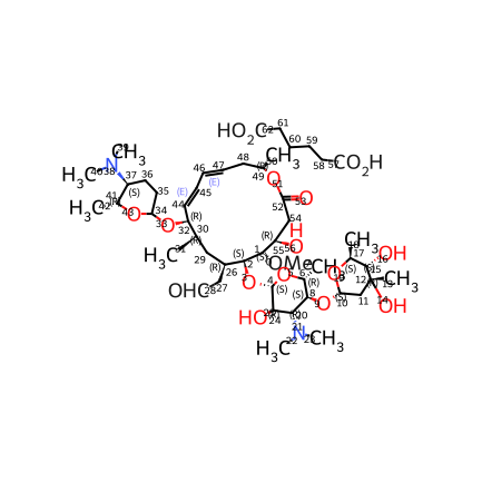 CO[C@@H]1[C@@H](O[C@@H]2O[C@H](C)[C@@H](O[C@H]3C[C@@](C)(O)[C@@H](O)[C@H](C)O3)[C@H](N(C)C)[C@H]2O)[C@@H](CC=O)C[C@@H](C)[C@@H](OC2CC[C@H](N(C)C)[C@@H](C)O2)/C=C/C=C/C[C@@H](C)OC(=O)C[C@H]1O.O=C(O)CCCCC(=O)O